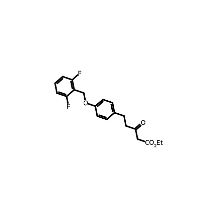 CCOC(=O)CC(=O)CCc1ccc(OCc2c(F)cccc2F)cc1